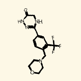 O=C1CNC(c2ccc(CN3CCOCC3)c(C(F)(F)F)c2)=NN1